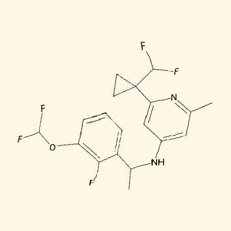 Cc1cc(NC(C)c2cccc(OC(F)F)c2F)cc(C2(C(F)F)CC2)n1